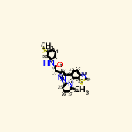 CSc1cccc(NC(=O)Cc2cc(-c3ccc4ncsc4c3)n(-c3cccc(C)n3)n2)c1